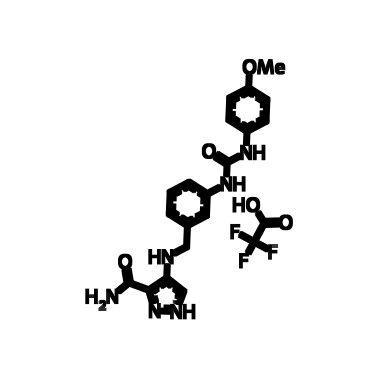 COc1ccc(NC(=O)Nc2cccc(CNc3c[nH]nc3C(N)=O)c2)cc1.O=C(O)C(F)(F)F